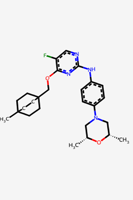 C[C@@H]1CN(c2ccc(Nc3ncc(F)c(OCC45CCC(C)(CC4)CC5)n3)cc2)C[C@H](C)O1